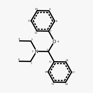 CCN(CC)C(Oc1ccccc1)c1ccccc1